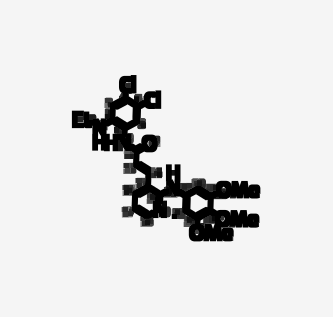 CCNc1cc(Cl)c(Cl)cc1NC(=O)/C=C/c1cccnc1Nc1cc(OC)c(OC)c(OC)c1